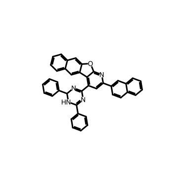 c1ccc(C2=NC(c3cc(-c4ccc5ccccc5c4)nc4oc5cc6ccccc6cc5c34)=NC(c3ccccc3)N2)cc1